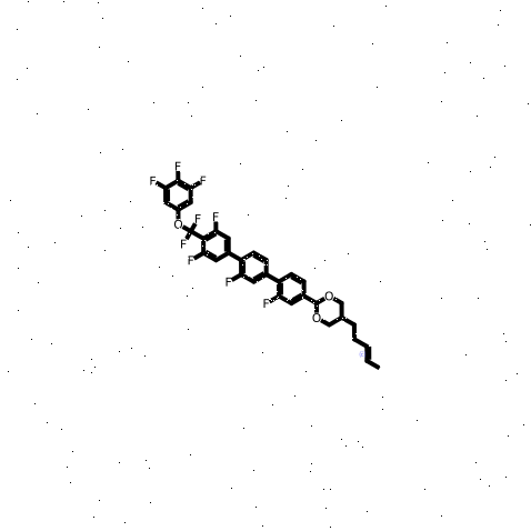 C/C=C/CCC1COC(c2ccc(-c3ccc(-c4cc(F)c(C(F)(F)Oc5cc(F)c(F)c(F)c5)c(F)c4)c(F)c3)c(F)c2)OC1